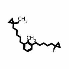 CCC1(CCCCCc2cccc(CCCCCC3(I)CC3)c2C)CC1